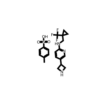 Cc1ccc(S(=O)(=O)O)cc1.FC(F)(F)C1(CNc2ccc(C3CNC3)cn2)CC1